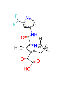 Cc1c(C(=O)C(=O)O)c2n(c1C(=O)Nc1ccnc(C(F)F)c1)[C@@H]1C[C@@H]1C2